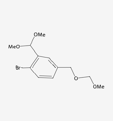 COCOCc1ccc(Br)c(C(OC)OC)c1